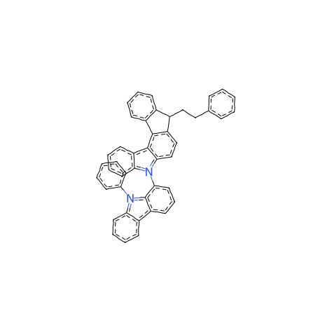 c1ccc(CCC2c3ccccc3-c3c2ccc2c3c3ccccc3n2-c2cccc3c4ccccc4n(-c4ccccc4)c23)cc1